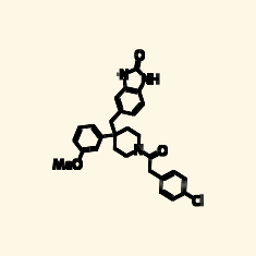 COc1cccc(C2(Cc3ccc4c(c3)[N]C(=O)N4)CCN(C(=O)Cc3ccc(Cl)cc3)CC2)c1